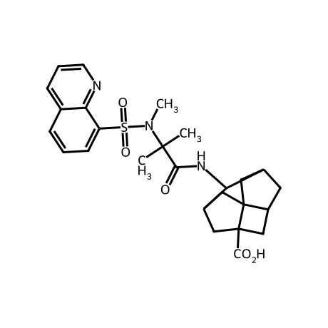 CN(C(C)(C)C(=O)NC1C2CC3CC4(C(=O)O)CC1CC34C2)S(=O)(=O)c1cccc2cccnc12